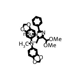 CCCCn1c(-c2ccccc2)nc(C(OC)OC)c1C[N+](C)(c1ccc2c(c1)OCO2)c1ccc2c(c1)OCO2